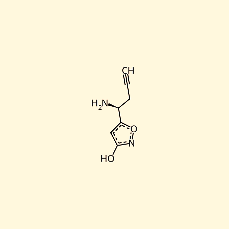 C#CC[C@H](N)c1cc(O)no1